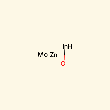 [Mo].[O]=[InH].[Zn]